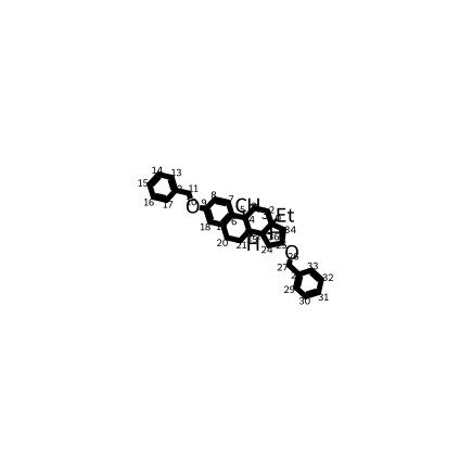 CC[C@]12CC[C@]3(C)c4ccc(OCc5ccccc5)cc4CC[C@H]3[C@@H]1C[C@@H](OCc1ccccc1)C2